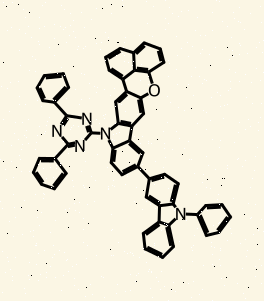 c1ccc(-c2nc(-c3ccccc3)nc(-n3c4ccc(-c5ccc6c(c5)c5ccccc5n6-c5ccccc5)cc4c4cc5c(cc43)-c3cccc4cccc(c34)O5)n2)cc1